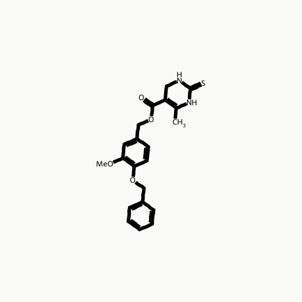 COc1cc(COC(=O)C2=C(C)NC(=S)NC2)ccc1OCc1ccccc1